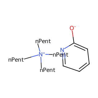 CCCCC[N+](CCCCC)(CCCCC)CCCCC.[O-]c1ccccn1